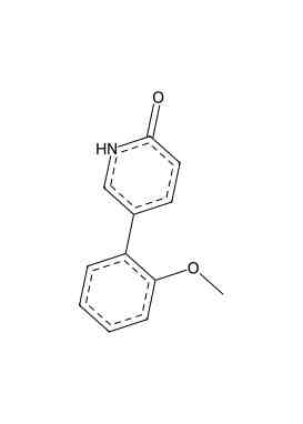 COc1ccccc1-c1ccc(=O)[nH]c1